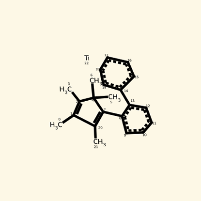 CC1=C(C)C(C)(C)C(c2ccccc2-c2ccccc2)=C1C.[Ti]